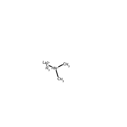 C[NH+](C)C.[La+3]